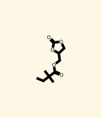 CCC(C)(C)C(=O)OCC1COC(=O)O1